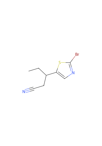 CCC(CC#N)c1cnc(Br)s1